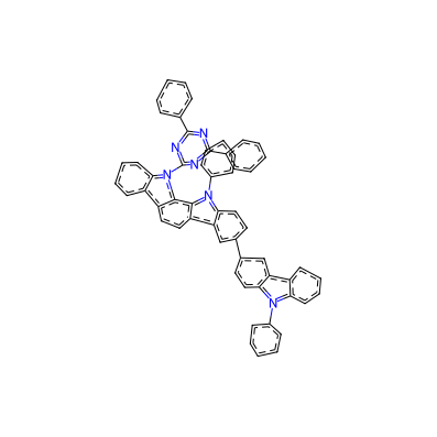 c1ccc(-c2nc(-c3ccccc3)nc(-n3c4ccccc4c4ccc5c6cc(-c7ccc8c(c7)c7ccccc7n8-c7ccccc7)ccc6n(-c6ccccc6)c5c43)n2)cc1